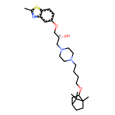 Cc1nc2cc(OC[C@H](O)CN3CCN(CCCCOC4CC5CCC4(C)C5(C)C)CC3)ccc2s1